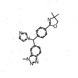 Cn1nnc2ccc(C(c3ccc(C4=NC(C)(C)CO4)cc3)n3ccnc3)cc21